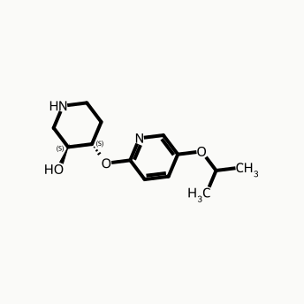 CC(C)Oc1ccc(O[C@H]2CCNC[C@@H]2O)nc1